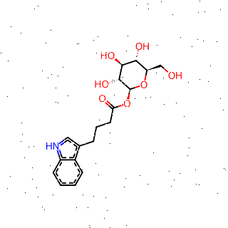 O=C(CCCc1c[nH]c2ccccc12)O[C@@H]1O[C@H](CO)[C@@H](O)[C@H](O)[C@H]1O